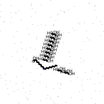 CCCCCCCC/C=C\CCCCCCCC(=O)O.OCC(O)CO.OCC(O)CO.OCC(O)CO.OCC(O)CO.OCC(O)CO.OCC(O)CO.OCC(O)CO.OCC(O)CO.OCC(O)CO.OCC(O)CO